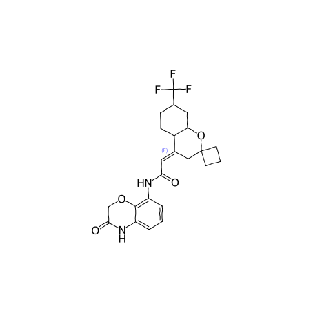 O=C(/C=C1\CC2(CCC2)OC2CC(C(F)(F)F)CCC12)Nc1cccc2c1OCC(=O)N2